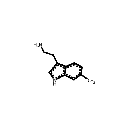 NCCc1c[nH]c2cc(C(F)(F)F)ccc12